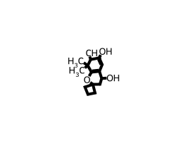 CC1C(O)=CC2=C(OC3(CCC3)CC2O)C1(C)C